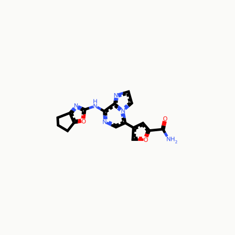 NC(=O)c1cc(-c2cnc(Nc3nc4c(o3)CCC4)c3nccn23)co1